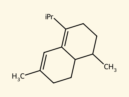 CC1=CC2=C(C(C)C)CCC(C)C2CC1